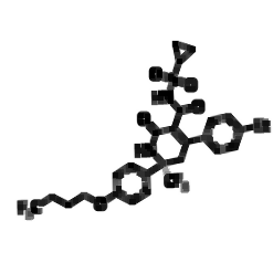 CCc1ccc(C2=C(C(=O)NS(=O)(=O)C3CC3)C(=O)N[C@@](c3ccc(OCCCC(F)(F)F)cc3)(C(F)(F)F)C2)cc1